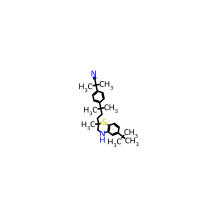 CC1(CCC(C)(C)c2ccc(C(C)(C)C#N)cc2)CNc2cc(C(C)(C)C)ccc2S1